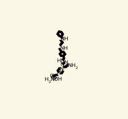 Nc1cc(N2CCN(CCP(N)(=O)O)CC2)nc(NCC2CCC(CNCCCNC3CCCCC3)CC2)n1